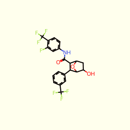 O=C(Nc1ccc(C(F)(F)F)c(F)c1)C1C2CC(O)C(O2)C1c1cccc(C(F)(F)F)c1